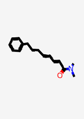 CN(C)C(=O)/C=C/C=C/CCCc1ccccc1